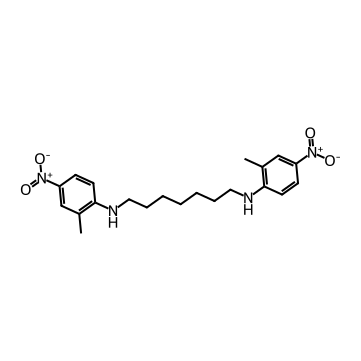 Cc1cc([N+](=O)[O-])ccc1NCCCCCCCNc1ccc([N+](=O)[O-])cc1C